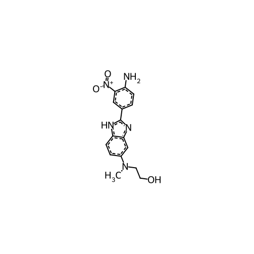 CN(CCO)c1ccc2[nH]c(-c3ccc(N)c([N+](=O)[O-])c3)nc2c1